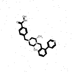 C[C@@H]1CN(Cc2ccc(C(=O)NO)cc2)C[C@H](C)N1Cc1ccccc1-c1ccncc1